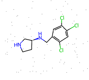 Clc1cc(Cl)c(CN[C@H]2CCNC2)cc1Cl